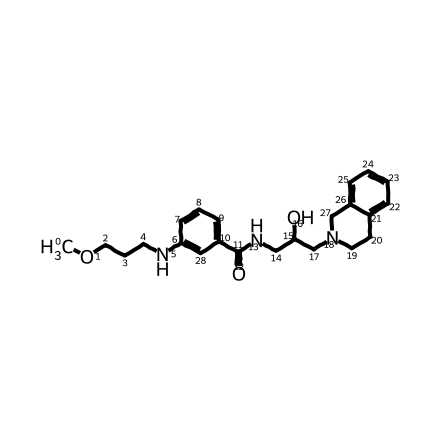 COCCCNc1cccc(C(=O)NCC(O)CN2CCc3ccccc3C2)c1